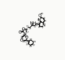 COc1ccc2nccc(CC[C@@H](N)CC[C@@H]3CN(C4=COC=C(C5=CC=CCC5)O4)C(=O)O3)c2n1